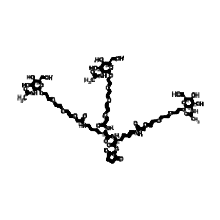 CC(=O)N[C@H]1[C@H](OCCOCCOCCOCC(=O)NCCCC[C@H](NC(=O)[C@H](CCCCNC(=O)COCCOCCOCCO[C@@H]2O[C@H](CO)[C@H](O)C(O)[C@H]2NC(C)=O)NC(=O)COCCOCCOCCO[C@@H]2O[C@H](CO)[C@H](O)[C@H](O)[C@H]2NC(C)=O)C(=O)ON2C(=O)CCC2=O)O[C@H](CO)[C@H](O)[C@@H]1O